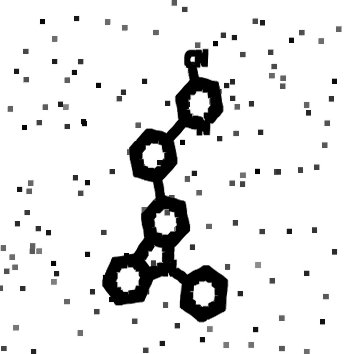 N#Cc1ccnc(-c2cccc(-c3ccc4c(c3)c3ccccc3n4-c3ccccc3)c2)c1